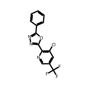 FC(F)(F)c1cnc(-c2nnc(-c3ccccc3)o2)c(Cl)c1